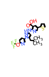 CC(C)Cc1cc(Nc2ncc(-c3cccs3)cc2C(=O)O)nn1-c1ccc(OC(F)(F)F)nc1